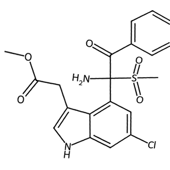 COC(=O)Cc1c[nH]c2cc(Cl)cc(C(N)(C(=O)c3ccccc3)S(C)(=O)=O)c12